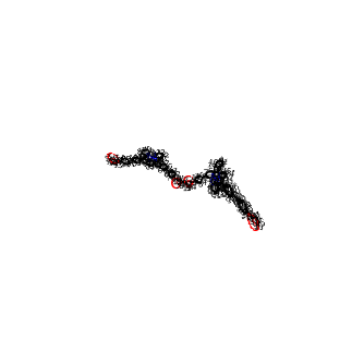 c1ccc(B2c3ccc(-c4ccc(-c5ccc(-c6coc(-c7ccc(-c8ccc(B9c%10ccccc%10N%10c%11ccccc%11B(c%11ccc(-c%12ccc(-c%13ccco%13)cc%12)cc%11)c%11cccc9c%11%10)cc8)cc7)c6)o5)cc4)cc3N3c4ccccc4B(c4ccc(-c5ccc(-c6ccco6)cc5)cc4)c4cccc2c43)cc1